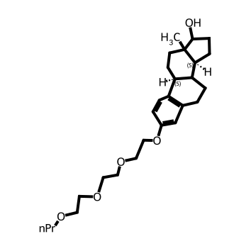 CCCOCCOCCOCCOc1ccc2c(c1)CCC1[C@@H]2CCC2(C)C(O)CC[C@@H]12